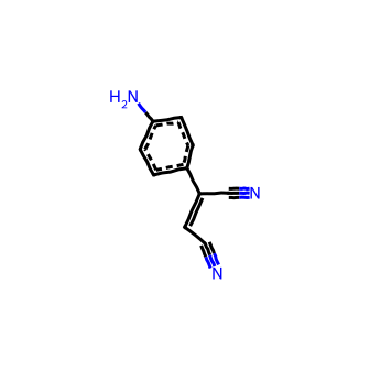 N#C/C=C(\C#N)c1ccc(N)cc1